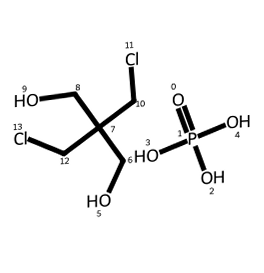 O=P(O)(O)O.OCC(CO)(CCl)CCl